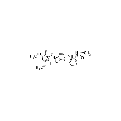 C=CC(=O)Nc1ccccc1Nc1ccc2c(ccn2C(=O)c2c(F)c(OC)cc(OC)c2F)n1